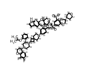 CC(C)Oc1ccccc1[C@@H]1CN([C@@H]2CCOc3c2ccc(F)c3F)CCN1C1CC2(CCN(c3ccc(C(=O)NS(=O)(=O)c4cc5c(c([N+](=O)[O-])c4)N[C@H](C4CCOCC4)CO5)c(N4c5cc6cc[nH]c6nc5O[C@H]5COCC[C@@H]54)c3)CC2)C1